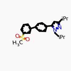 CC(C)Cn1nc(C(C)C)cc1-c1ccc(-c2cccc(S(C)(=O)=O)c2)cc1